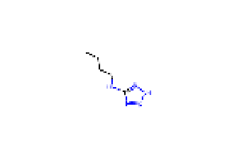 CCCCNc1nn[nH]n1